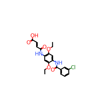 CCOc1cc(NC(=O)c2cccc(Cl)c2)c(OCC)cc1NC(=O)C=CC(=O)O